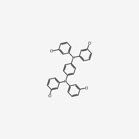 Clc1cccc(N(c2ccc(N(c3cccc(Cl)c3)c3cccc(Cl)c3)cc2)c2cccc(Cl)c2)c1